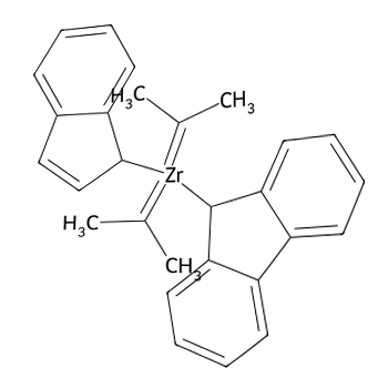 C[C](C)=[Zr](=[C](C)C)([CH]1C=Cc2ccccc21)[CH]1c2ccccc2-c2ccccc21